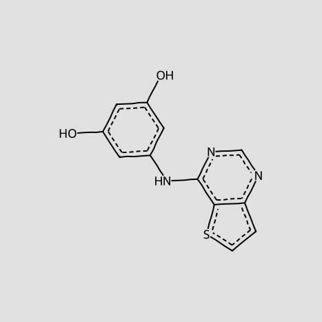 Oc1cc(O)cc(Nc2ncnc3ccsc23)c1